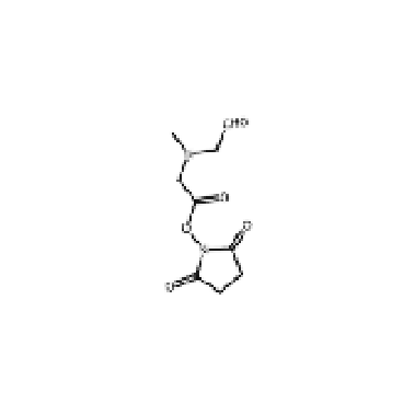 CN(CC=O)CC(=O)ON1C(=O)CCC1=O